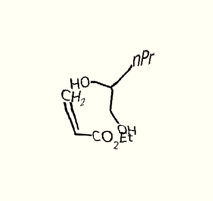 C=CC(=O)OCC.CCCC(O)O